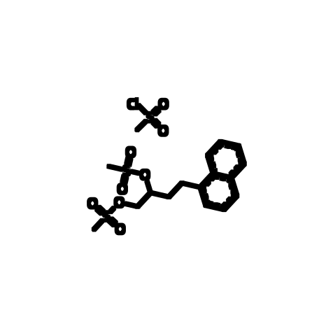 CS(=O)(=O)Cl.CS(=O)(=O)OCC(CCc1cccc2ccccc12)OS(C)(=O)=O